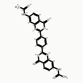 CC(=O)Nc1ccc2c(=O)oc(-c3ccc(-c4nc5cc(NC(C)=O)ccc5c(=O)o4)cc3)nc2c1